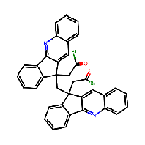 O=C(Br)CC1(CC2(CC(=O)Br)c3ccccc3-c3nc4ccccc4cc32)c2ccccc2-c2nc3ccccc3cc21